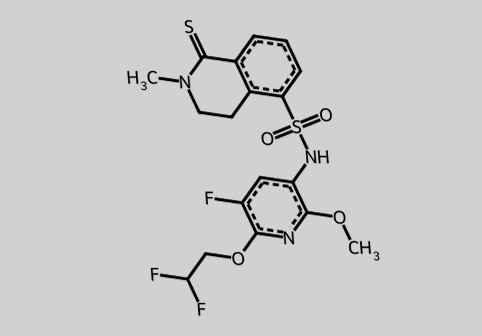 COc1nc(OCC(F)F)c(F)cc1NS(=O)(=O)c1cccc2c1CCN(C)C2=S